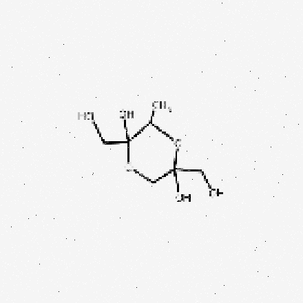 CC1OC(O)(CO)COC1(O)CO